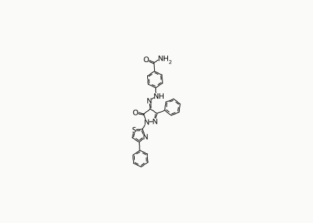 NC(=O)c1ccc(N/N=C2/C(=O)N(c3nc(-c4ccccc4)cs3)N=C2c2ccccc2)cc1